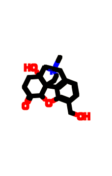 CN1CCC23c4c5ccc(CO)c4OC2C(=O)CCC3(O)C1C5